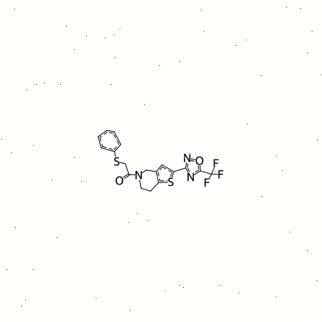 O=C(CSc1ccccc1)N1CCc2sc(-c3noc(C(F)(F)F)n3)cc2C1